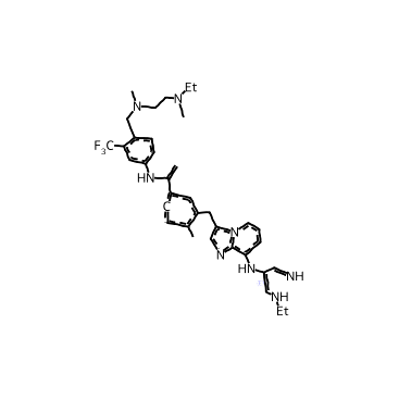 C=C(Nc1ccc(CN(C)CCN(C)CC)c(C(F)(F)F)c1)c1ccc(C)c(Cc2cnc3c(N/C(C=N)=C/NCC)cccn23)c1